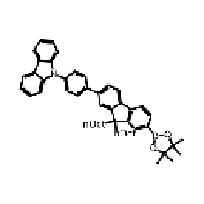 CCCCCCCCC1(CCCCCCCC)c2cc(B3OC(C)(C)C(C)(C)O3)ccc2-c2ccc(-c3ccc(-n4c5ccccc5c5ccccc54)cc3)cc21